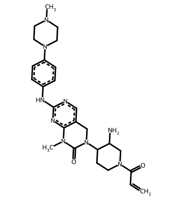 C=CC(=O)N1CCC(N2Cc3cnc(Nc4ccc(N5CCN(C)CC5)cc4)nc3N(C)C2=O)C(N)C1